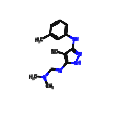 Cc1cccc(Nc2n[nH]c(N=CN(C)C)c2C#N)c1